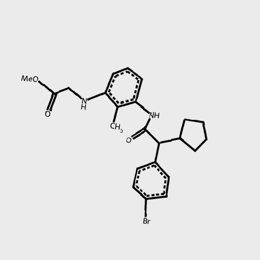 COC(=O)CNc1cccc(NC(=O)C(c2ccc(Br)cc2)C2CCCC2)c1C